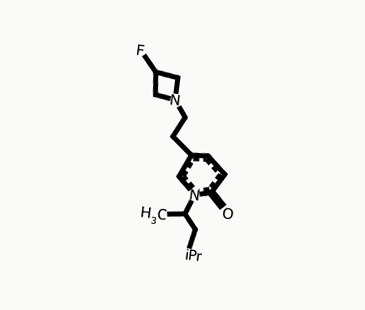 CC(C)CC(C)n1cc(CCN2CC(F)C2)ccc1=O